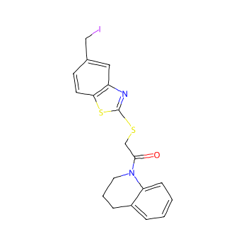 O=C(CSc1nc2cc(CI)ccc2s1)N1CCCc2ccccc21